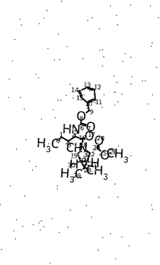 CC[C@@H](C)[C@H](NC(=O)OCc1ccccc1)C(=O)N1C[C@H]2[C@@H]([C@H]1C(=O)OC)C2(C)C